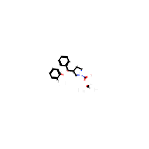 Cc1ccccc1OC(c1ccccc1)C1CCN(C(=O)OC(C)(C)C)C1